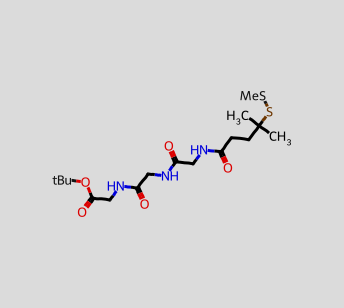 CSSC(C)(C)CCC(=O)NCC(=O)NCC(=O)NCC(=O)OC(C)(C)C